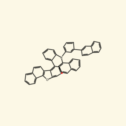 c1cc(-c2ccc3ccccc3c2)cc(N(c2ccccc2-c2cccc3oc4c5ccccc5ccc4c23)c2cccc3ccccc23)c1